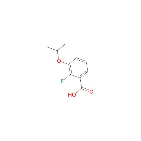 CC(C)Oc1cccc(C(=O)O)c1F